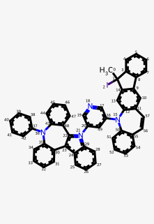 CC1(I)c2ccccc2-c2cc3c(cc21)N(c1cncc(-n2c4c(c5ccccc52)-c2ccccc2N(c2ccccc2)c2ccccc2-4)c1)c1ccccc1C=C3